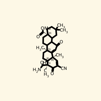 COC(=O)[C@@]12CCC3C(C(=O)C=C4[C@@]3(C)CC[C@H]3[C@](C)(C(N)=O)C(=O)C(C#N)=C[C@]43C)C1CC(C)(C)CC2